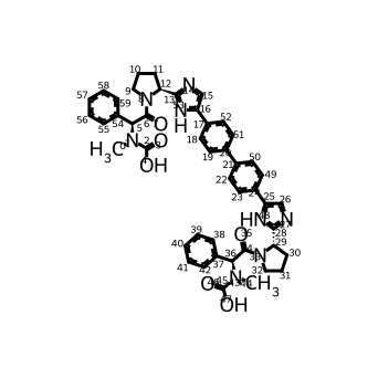 CN(C(=O)O)[C@H](C(=O)N1CCC[C@H]1c1ncc(-c2ccc(-c3ccc(-c4cnc([C@@H]5CCCN5C(=O)[C@H](c5ccccc5)N(C)C(=O)O)[nH]4)cc3)cc2)[nH]1)c1ccccc1